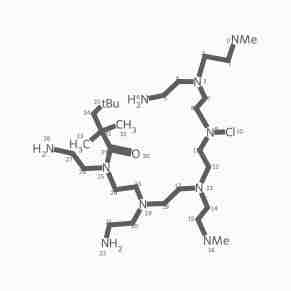 CNCCN(CCN)CCN(Cl)CCN(CCNC)CCN(CCN)CCN(CCN)C(=O)C(C)(C)CC(C)(C)C